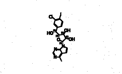 Cc1ncnc2c1ccn2[C@@H]1O[C@H]([C@H](O)c2ccc(I)c(Cl)c2)[C@@H](O)[C@H]1O